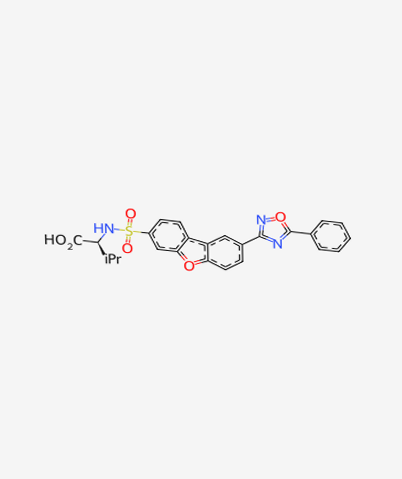 CC(C)[C@H](NS(=O)(=O)c1ccc2c(c1)oc1ccc(-c3noc(-c4ccccc4)n3)cc12)C(=O)O